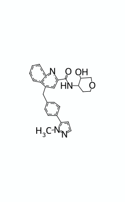 Cn1nccc1-c1ccc(Cc2cc(C(=O)NC3CCOCC3O)nc3ccccc23)cc1